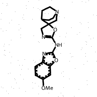 COc1ccc2nc(NC3=NCC4(CN5CCC4CC5)O3)oc2c1